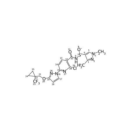 Cc1nn(C)cc1[S+]([O-])NC(=O)c1ccc(-n2ccc(OCC3(C(F)(F)F)CC3)n2)nc1Cl